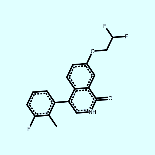 Cc1c(F)cccc1-c1c[nH]c(=O)c2cc(OCC(F)F)ccc12